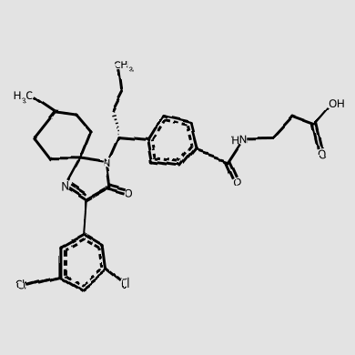 CCC[C@H](c1ccc(C(=O)NCCC(=O)O)cc1)N1C(=O)C(c2cc(Cl)cc(Cl)c2)=NC12CCC(C)CC2